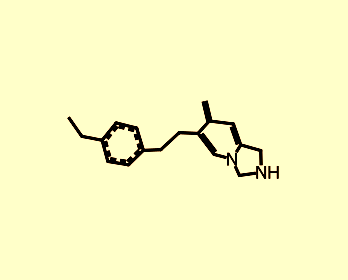 C=C1C=C2CNCN2C=C1CCc1ccc(CC)cc1